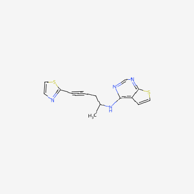 CC(CC#Cc1nccs1)Nc1ncnc2sccc12